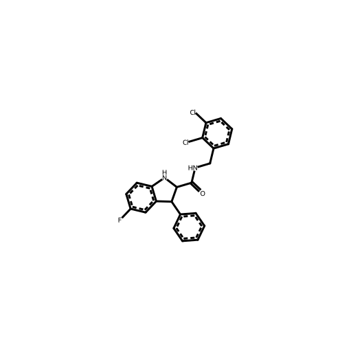 O=C(NCc1cccc(Cl)c1Cl)C1Nc2ccc(F)cc2C1c1ccccc1